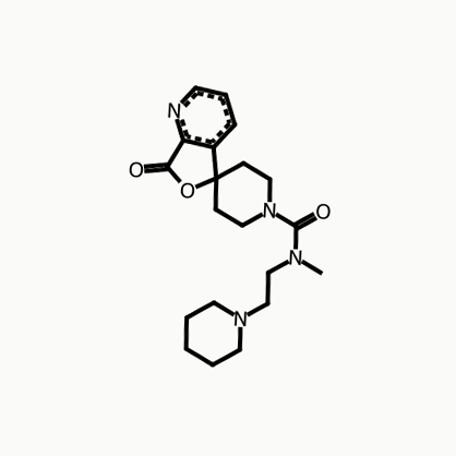 CN(CCN1CCCCC1)C(=O)N1CCC2(CC1)OC(=O)c1ncccc12